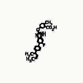 C=C(/C=C\C)c1ccc(-c2cc3nc(OC4=CC(C(=O)O)=C(C)CC4)[nH]c3cc2F)cc1